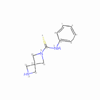 S=C(Nc1ccccc1)N1CC2(CNC2)C1